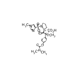 C[C@@H](C(=O)O)N(C(=O)[C@@H]1CCCN1S(=O)(=O)c1cn(C)cn1)c1ccc(OC(=O)N(C)C)cc1